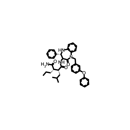 CCC[C@H](C(N)=O)[C@@H](CC(C)C)C(=O)NC1C(=O)N(Cc2cccc(Oc3ccccc3)c2)c2ccccc2N[C@H]1c1ccccc1